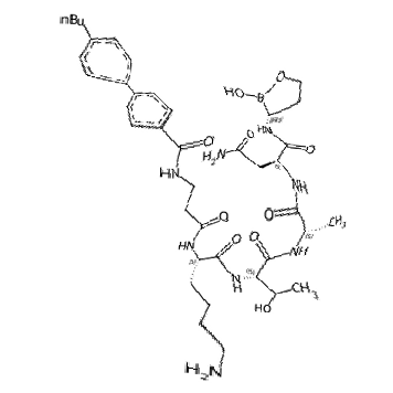 CCCCc1ccc(-c2ccc(C(=O)NCCC(=O)N[C@@H](CCCCN)C(=O)N[C@H](C(=O)N[C@@H](C)C(=O)N[C@@H](CC(N)=O)C(=O)N[C@H]3CCOB3O)C(C)O)cc2)cc1